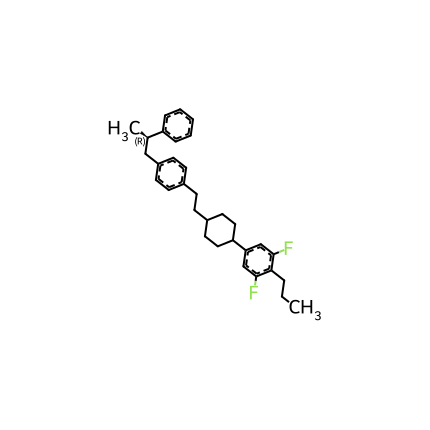 CCCc1c(F)cc(C2CCC(CCc3ccc(C[C@@H](C)c4ccccc4)cc3)CC2)cc1F